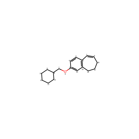 C1=Cc2ccc(OCC3CCCCC3)cc2CCC1